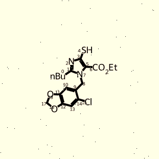 CCCCc1nc(S)c(C(=O)OCC)n1Cc1cc2c(cc1Cl)OCO2